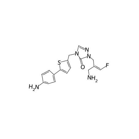 NC/C(=C/F)Cn1ncn(Cc2ccc(-c3ccc(N)cc3)s2)c1=O